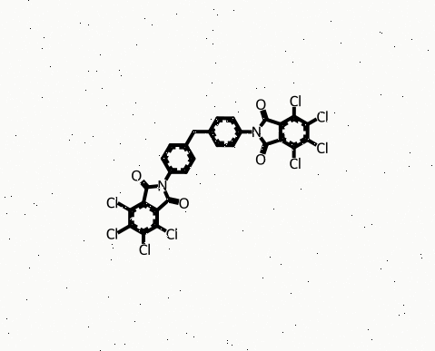 O=C1c2c(Cl)c(Cl)c(Cl)c(Cl)c2C(=O)N1c1ccc(Cc2ccc(N3C(=O)c4c(Cl)c(Cl)c(Cl)c(Cl)c4C3=O)cc2)cc1